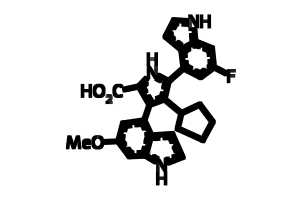 COc1cc(-c2c(C(=O)O)[nH]c(-c3cc(F)cc4[nH]ccc34)c2C2CCCC2)c2cc[nH]c2c1